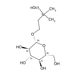 CCCCCCCC[Si](C)(C)CCO[C@@H]1O[C@H](CO)[C@@H](O)[C@H](O)[C@H]1O